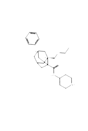 CCOC[C@]12CC3CC1(C(=O)NC1CCNCC1)C[C@@](c1ccccc1)(C3)C2